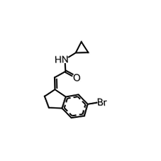 O=C(/C=C1/CCc2ccc(Br)cc21)NC1CC1